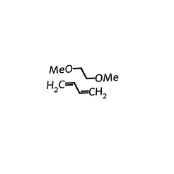 C=CC=C.COCCOC